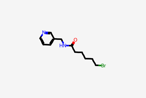 O=C(CCCCCBr)NCc1cccnc1